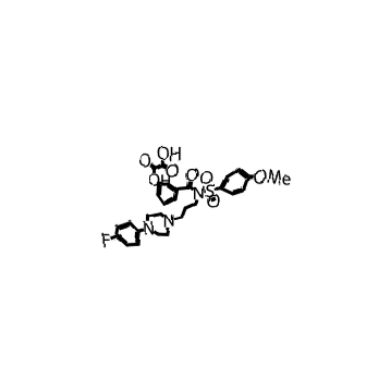 COc1ccc(S(=O)(=O)N(CCCN2CCN(c3ccc(F)cc3)CC2)C(=O)c2ccccc2)cc1.O=C(O)C(=O)O